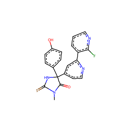 CN1C(=O)C(c2ccc(O)cc2)(c2ccnc(-c3cccnc3F)c2)NC1=S